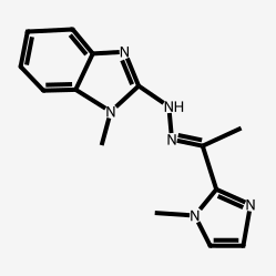 C/C(=N\Nc1nc2ccccc2n1C)c1nccn1C